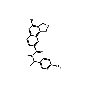 CC(c1ccc(C(F)(F)F)cn1)N(C)C(=O)c1cc2c3c(c(N)nc2cn1)COC3